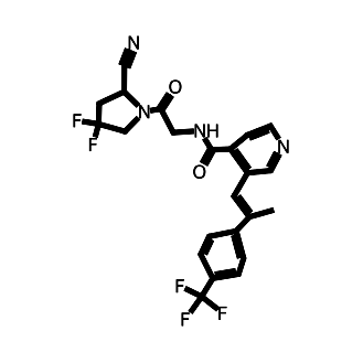 CC(=Cc1cnccc1C(=O)NCC(=O)N1CC(F)(F)CC1C#N)c1ccc(C(F)(F)F)cc1